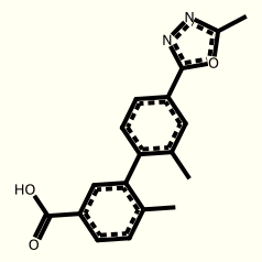 Cc1nnc(-c2ccc(-c3cc(C(=O)O)ccc3C)c(C)c2)o1